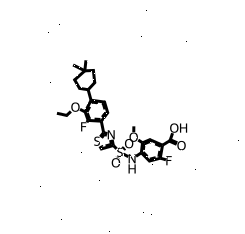 CCOc1c(C2CCC(C)(C)CC2)ccc(-c2nc(S(=O)(=O)Nc3cc(F)c(C(=O)O)cc3OC)cs2)c1F